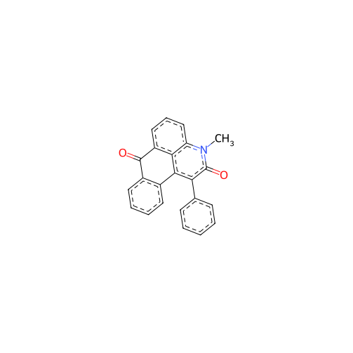 Cn1c(=O)c(-c2ccccc2)c2c3c(cccc31)C(=O)c1ccccc1-2